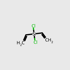 C=C[Si](Cl)(Cl)C=C